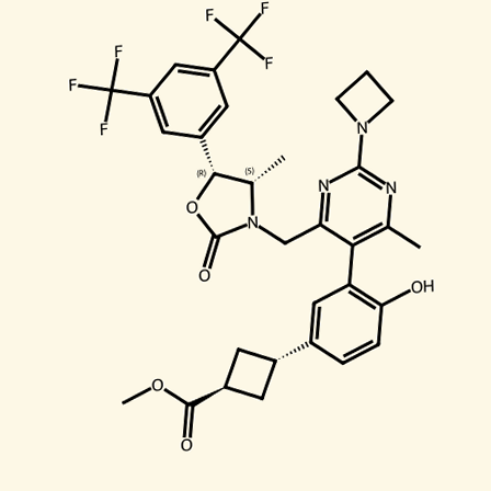 COC(=O)[C@H]1C[C@H](c2ccc(O)c(-c3c(C)nc(N4CCC4)nc3CN3C(=O)O[C@H](c4cc(C(F)(F)F)cc(C(F)(F)F)c4)[C@@H]3C)c2)C1